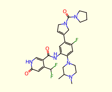 CC1CN(c2cc(F)c(C3=CCN(C(=O)N4CCCC4)C3)cc2NC(=O)c2c[nH]c(=O)cc2C(F)F)CCN1C